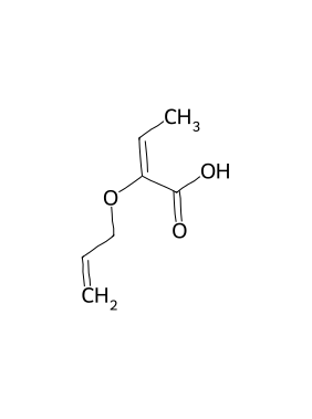 C=CCOC(=CC)C(=O)O